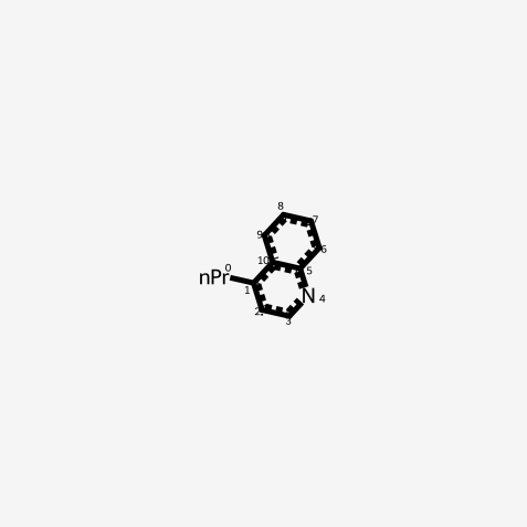 CCCc1[c]cnc2ccccc12